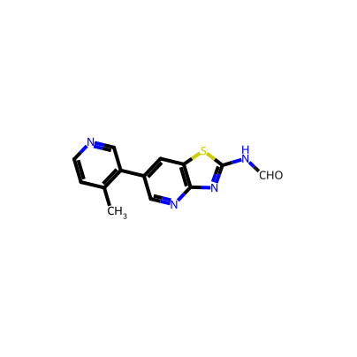 Cc1ccncc1-c1cnc2nc(NC=O)sc2c1